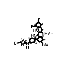 CC(=O)NC(Cc1cc(F)cc(F)c1)C(O)CNC1(c2cccc(C(C)(C)C)c2)CCC(Nc2nc(Br)ns2)CC1